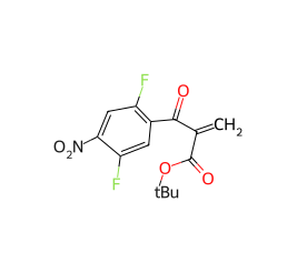 C=C(C(=O)OC(C)(C)C)C(=O)c1cc(F)c([N+](=O)[O-])cc1F